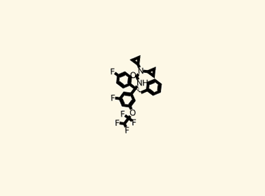 O=C(N[C@](Cc1ccccc1)(c1ccc(F)cc1)c1cc(F)cc(OC(F)(F)C(F)F)c1)N(C1CC1)C1CC1